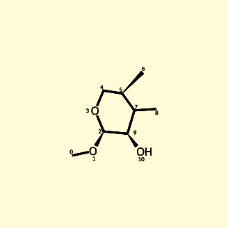 CO[C@H]1OC[C@@H](C)C(C)[C@H]1O